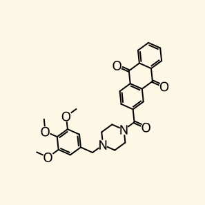 COc1cc(CN2CCN(C(=O)c3ccc4c(c3)C(=O)c3ccccc3C4=O)CC2)cc(OC)c1OC